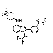 CNC(=O)c1cccc(-c2cc3c(NC4CCS(=O)(=O)CC4)cccc3n2C(F)C(F)F)c1